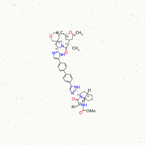 COC(=O)N[C@H](C(=O)N1[C@H](c2ncc(-c3ccc(-c4ccc(-c5cnc([C@@H]6C[C@@]7(CCCOC7)CN6C(=O)[C@@H](C)C6C[C@@H](C)O[C@H](C)C6)[nH]5)cc4)cc3)[nH]2)C[C@@H]2CCC[C@@H]21)C(C)C